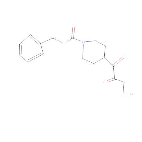 O=C(O)CC(=O)C(=O)C1CCN(C(=O)OCc2ccccc2)CC1